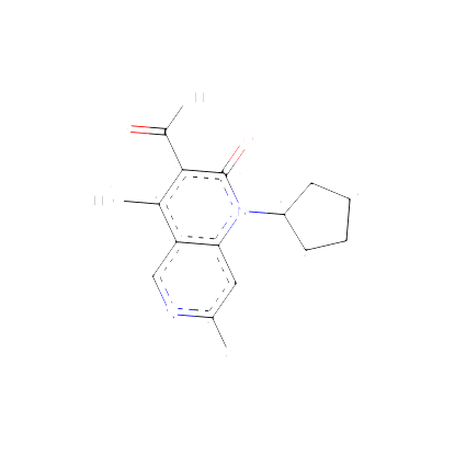 CC(=O)c1c(C)c2cnc(C)cc2n(C2CCCC2)c1=O